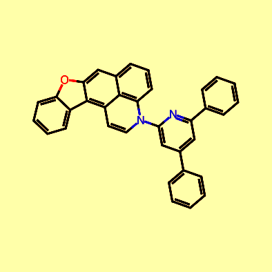 C1=CN(c2cc(-c3ccccc3)cc(-c3ccccc3)n2)c2cccc3cc4oc5ccccc5c4c1c23